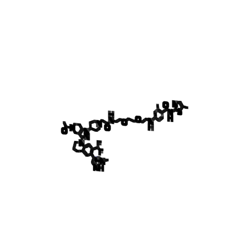 CN/C=C(\C=N)c1cc2c(cc1C(F)F)N(c1nn(C3CCN(CC(=O)NCCOCCOCCNc4ccc(C(=O)Nc5ncc(C)s5)c(C)c4)CC3)c3c1CN(C(C)=O)CC3)CCC2